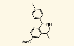 COc1ccc2c(c1)C(C)CNC2c1ccc(I)cc1